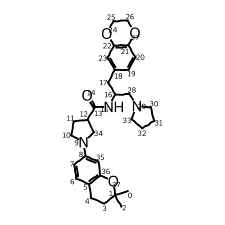 CC1(C)CCc2ccc(N3CCC(C(=O)NC(Cc4ccc5c(c4)OCCO5)CN4CCCC4)C3)cc2O1